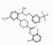 Nc1ncc(C(O)COc2ccnc(C(F)(F)F)n2)c(C2CCN(C(=O)Oc3c(F)cccc3F)CC2)n1